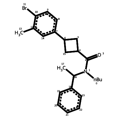 CCCCN(C(=O)C1CC(c2ccc(Br)c(C)c2)C1)C(C)c1ccccc1